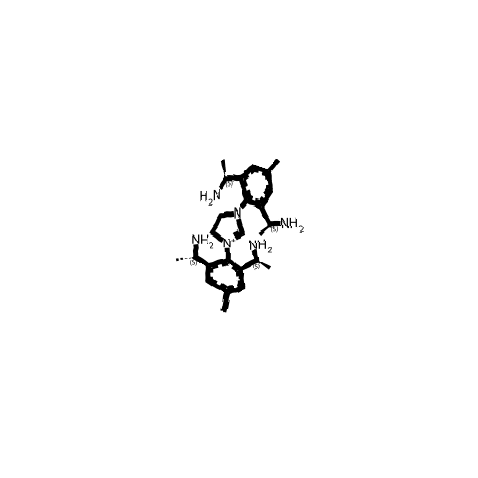 Cc1cc([C@H](C)N)c(N2C=[N+](c3c([C@H](C)N)cc(C)cc3[C@H](C)N)CC2)c([C@H](C)N)c1